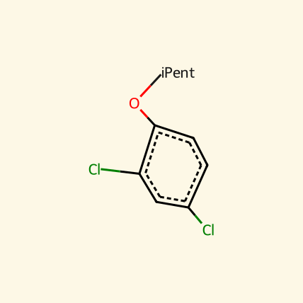 CC[CH]C(C)Oc1ccc(Cl)cc1Cl